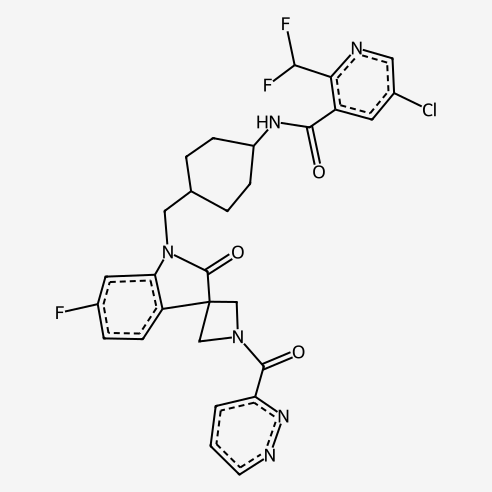 O=C(NC1CCC(CN2C(=O)C3(CN(C(=O)c4cccnn4)C3)c3ccc(F)cc32)CC1)c1cc(Cl)cnc1C(F)F